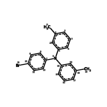 Cc1cccc(N(c2ccc(Br)cc2)c2cccc(C)c2)c1